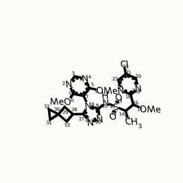 COc1ncnc(OC)c1-n1c(NS(=O)(=O)C(C)C(OC)c2ncc(Cl)cn2)nnc1C1CC2(CC2)C1